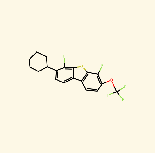 Fc1c(OC(F)(F)F)ccc2c1sc1c(F)c(C3CCCCC3)ccc12